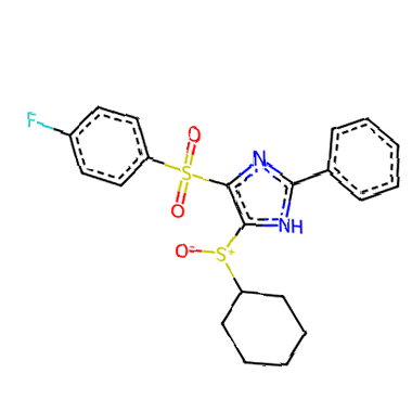 O=S(=O)(c1ccc(F)cc1)c1nc(-c2ccccc2)[nH]c1[S+]([O-])C1CCCCC1